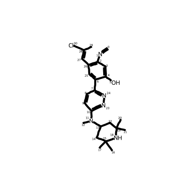 C=Nc1cc(O)c(-c2ccc(N(C)C3CC(C)(C)NC(C)(C)C3)nn2)cc1/C=C(\C)Cl